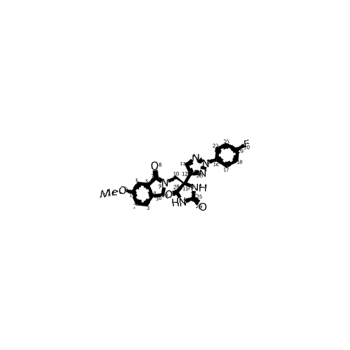 COc1ccc2c(c1)C(=O)N(C[C@@]1(c3cnn(-c4ccc(F)cc4)n3)NC(=O)NC1=O)C2